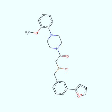 COc1ccccc1N1CCN(C(=O)C[S+]([O-])Cc2cccc(-c3ccco3)c2)CC1